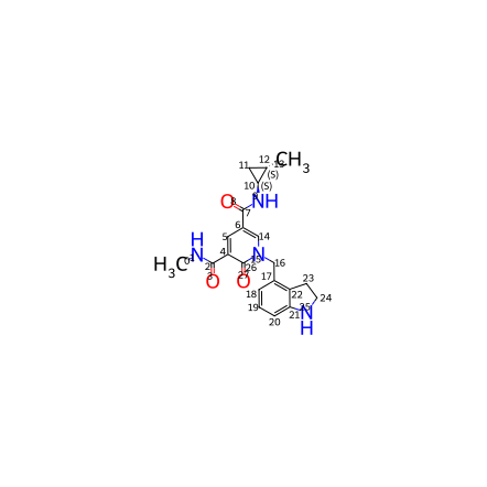 CNC(=O)c1cc(C(=O)N[C@H]2C[C@@H]2C)cn(Cc2cccc3c2CCN3)c1=O